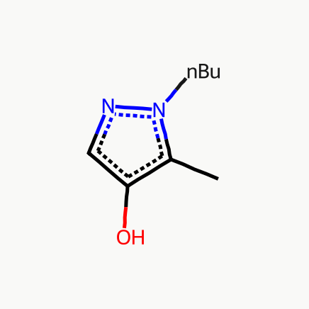 CCCCn1ncc(O)c1C